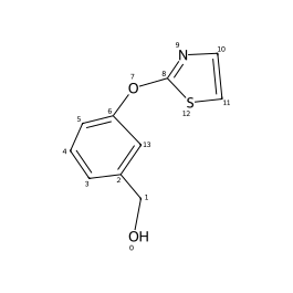 OCc1cccc(Oc2nccs2)c1